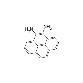 Nc1c(N)c2cccc3ccc4cccc1c4c32